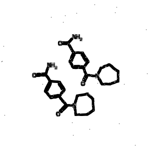 NC(=O)c1ccc(C(=O)N2CCCCCC2)cc1.NC(=O)c1ccc(C(=O)N2CCCCCC2)cc1